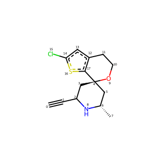 C#CC1C[C@]2(C[C@H](C)N1)OCCc1cc(Cl)sc12